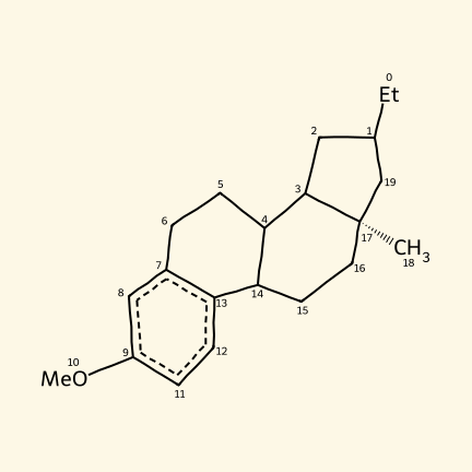 CCC1CC2C3CCc4cc(OC)ccc4C3CC[C@]2(C)C1